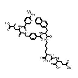 CC(CC(NC(=O)c1ccc(NN)nc1)C(=O)NCc1ccc(C(=O)NC(Cc2ccc3ccccc3c2)C(=O)NCCCCC(NC(=O)NC(CCC(=O)O)C(=O)O)C(=O)O)cc1)C(=O)O